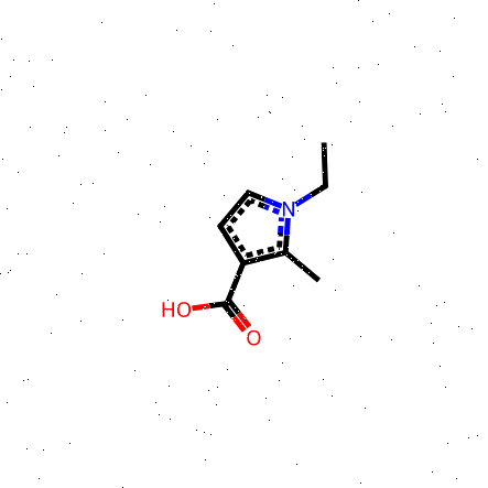 CCn1ccc(C(=O)O)c1C